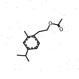 CC(=O)OCCc1ccc(C(C)C)cc1C